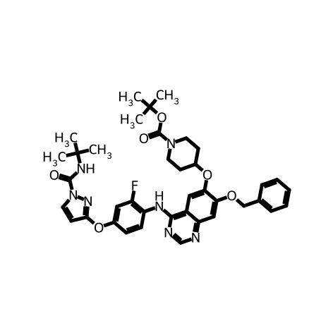 CC(C)(C)NC(=O)n1ccc(Oc2ccc(Nc3ncnc4cc(OCc5ccccc5)c(OC5CCN(C(=O)OC(C)(C)C)CC5)cc34)c(F)c2)n1